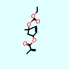 C=C(C)C(=O)OC1C=CC(C)(OC(=O)OCC)C1